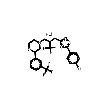 Cl.FC(F)(F)c1cccc(C2CN(CC(Cc3nnc(-c4ccc(Cl)cc4)o3)C(F)(F)F)CCO2)c1